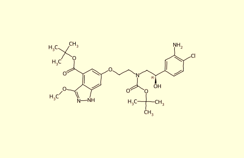 COc1n[nH]c2cc(OCCN(C[C@H](O)c3ccc(Cl)c(N)c3)C(=O)OC(C)(C)C)cc(C(=O)OC(C)(C)C)c12